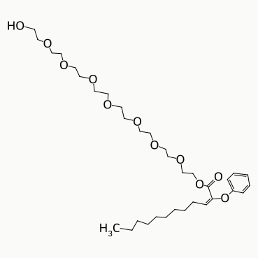 CCCCCCCCCC=C(Oc1ccccc1)C(=O)OCCOCCOCCOCCOCCOCCOCCOCCO